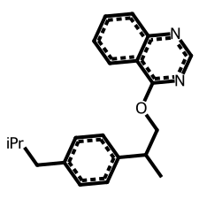 CC(C)Cc1ccc(C(C)COc2ncnc3ccccc23)cc1